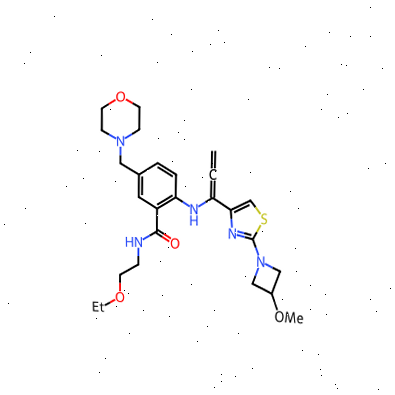 C=C=C(Nc1ccc(CN2CCOCC2)cc1C(=O)NCCOCC)c1csc(N2CC(OC)C2)n1